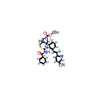 CC(C)(C)OC(=O)N1C[C@@H]2CSC(NC(=O)c3ccccc3)=N[C@@]2(c2cc(/C=C(\F)c3ccc(C#N)cn3)ccc2F)C1